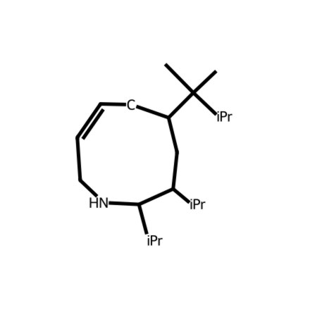 CC(C)C1CC(C(C)(C)C(C)C)C/C=C\CNC1C(C)C